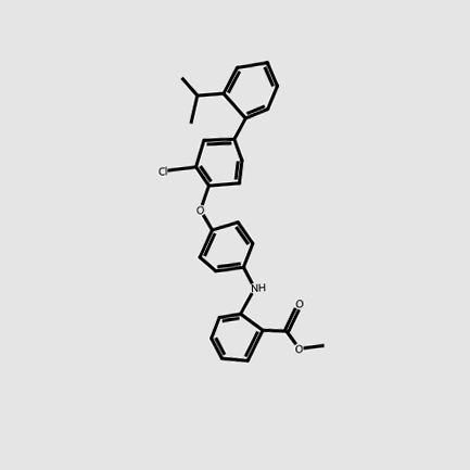 COC(=O)c1ccccc1Nc1ccc(Oc2ccc(-c3ccccc3C(C)C)cc2Cl)cc1